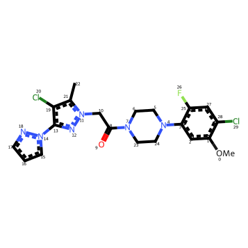 COc1cc(N2CCN(C(=O)Cn3nc(-n4cccn4)c(Cl)c3C)CC2)c(F)cc1Cl